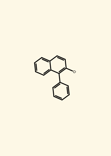 [O]c1ccc2ccccc2c1-c1ccccc1